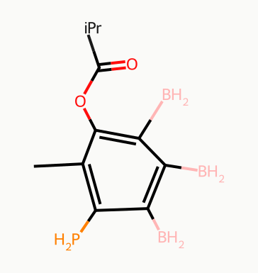 Bc1c(B)c(P)c(C)c(OC(=O)C(C)C)c1B